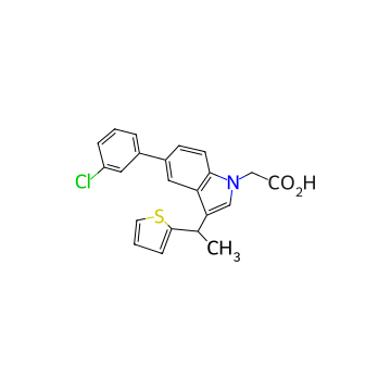 CC(c1cccs1)c1cn(CC(=O)O)c2ccc(-c3cccc(Cl)c3)cc12